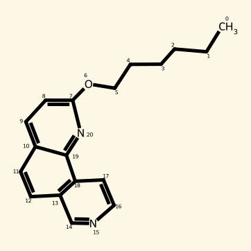 CCCCCCOc1ccc2ccc3cnccc3c2n1